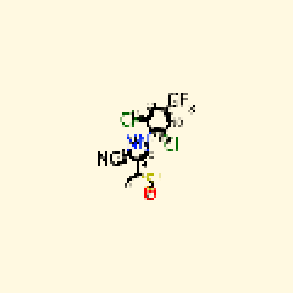 CC([S+]=O)c1cn(-c2c(Cl)cc(C(F)(F)F)cc2Cl)nc1C#N